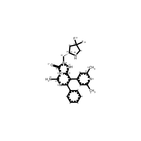 Cc1cc(-c2c(-c3ccccc3)nc(N)[n+]3c(=O)n(C[C@@H]4CC(F)(F)CN4)[nH]c23)cc(C)n1